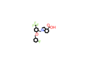 O=C(O)c1cccc2c1ccn2Cc1cc(C(F)(F)F)ccc1OCc1cccc(F)c1